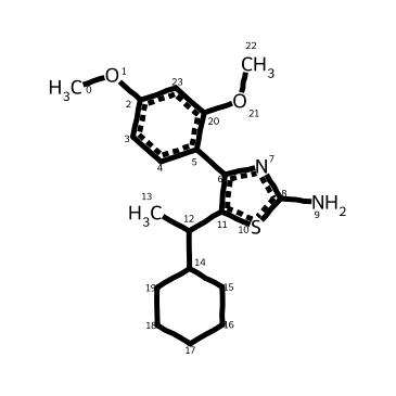 COc1ccc(-c2nc(N)sc2C(C)C2CCCCC2)c(OC)c1